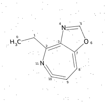 CCC1=c2ncoc2=CC=C=N1